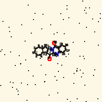 O=C1c2c3cccccc-3cc2-n2c1nc1ccccc1c2=O